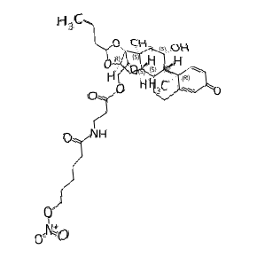 CCCC1O[C@@H]2C[C@H]3[C@@H]4CCC5=CC(=O)C=C[C@]5(C)[C@H]4[C@@H](O)C[C@]3(C)C2(C(=O)COC(=O)CCNC(=O)CCCCCO[N+](=O)[O-])O1